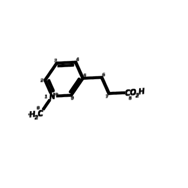 [CH2][n+]1cccc(CCC(=O)O)c1